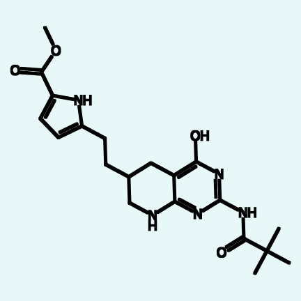 COC(=O)c1ccc(CCC2CNc3nc(NC(=O)C(C)(C)C)nc(O)c3C2)[nH]1